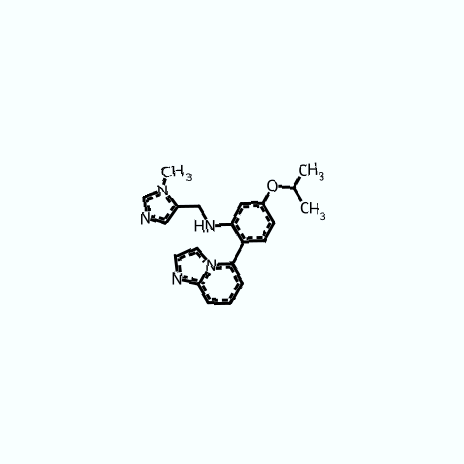 CC(C)Oc1ccc(-c2cccc3nccn23)c(NCc2cncn2C)c1